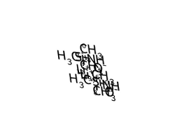 C[Si](C)(C)N[O-].C[Si](C)(C)N[O-].[Li+].[Li+]